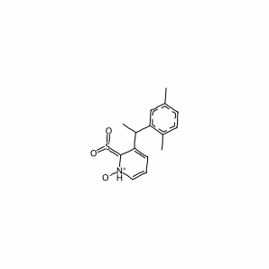 Cc1ccc(C)c(C(C)C2=CC=C[NH+]([O-])C2=S(=O)=O)c1